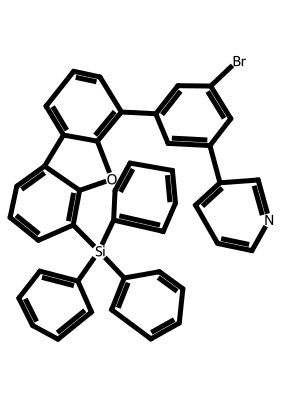 Brc1cc(-c2cccnc2)cc(-c2cccc3c2oc2c([Si](c4ccccc4)(c4ccccc4)c4ccccc4)cccc23)c1